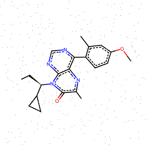 CC[C@H](C1CC1)n1c(=O)c(C)nc2c(-c3ccc(OC)cc3C)ncnc21